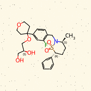 C[C@H]1CC[C@H](c2ccccc2)S(=O)(=O)N1Cc1ccc(C2(OC[C@@H](O)CO)CCOCC2)cc1F